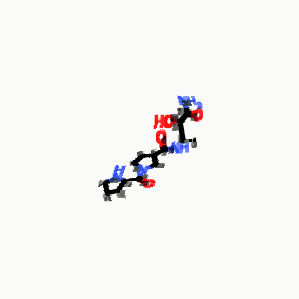 C[C@H](NC(=O)C1CCN(C(=O)[C@H]2CCCN2)C1)[C@@H](O)C(N)=O